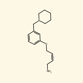 NC/C=C\COc1cccc(CN2CCCCC2)c1